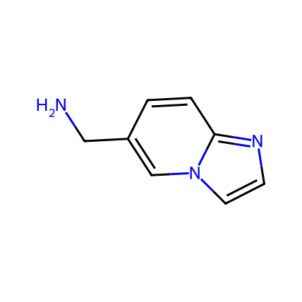 NCc1ccc2nccn2c1